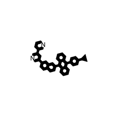 c1cncc(-c2cncc(-c3ccc4ccc(-c5c6ccccc6c(-c6ccc(C7CC7)cc6)c6ccccc56)cc4c3)c2)c1